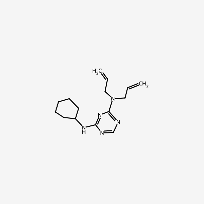 C=CCN(CC=C)c1ncnc(NC2CCCCC2)n1